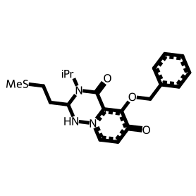 CSCCC1Nn2ccc(=O)c(OCc3ccccc3)c2C(=O)N1C(C)C